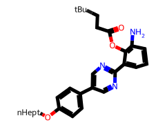 CCCCCCCOc1ccc(-c2cnc(-c3cccc(N)c3OC(=O)CCC(C)(C)C)nc2)cc1